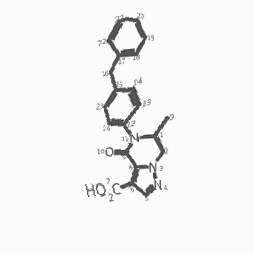 CC1Cn2ncc(C(=O)O)c2C(=O)N1c1ccc(Cc2ccccc2)cc1